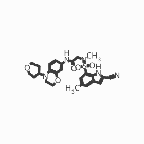 Cc1cc(S(=O)(=O)N(C)CC(=O)Nc2ccc3c(c2)OCCN3C2CCOCC2)c2[nH]c(C#N)cc2c1